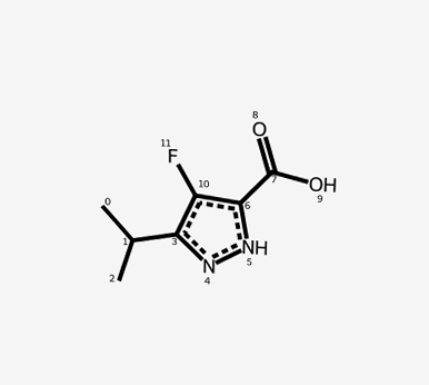 CC(C)c1n[nH]c(C(=O)O)c1F